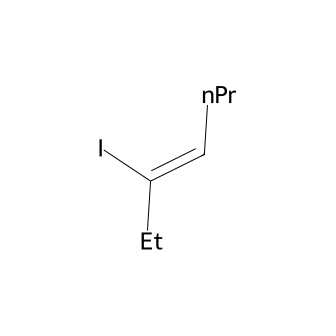 CCC/C=C(\I)CC